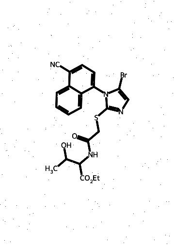 CCOC(=O)C(NC(=O)CSc1ncc(Br)n1-c1ccc(C#N)c2ccccc12)C(C)O